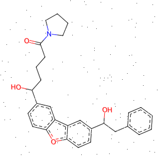 O=C(CCCC(O)c1ccc2oc3ccc(C(O)Cc4ccccc4)cc3c2c1)N1CCCC1